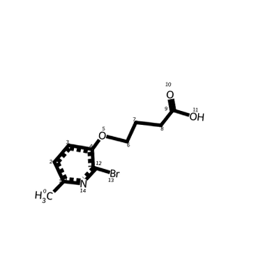 Cc1ccc(OCCCC(=O)O)c(Br)n1